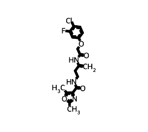 C=C(CCNC(=O)c1nc(C)oc1C)NC(=O)COc1ccc(Cl)c(F)c1